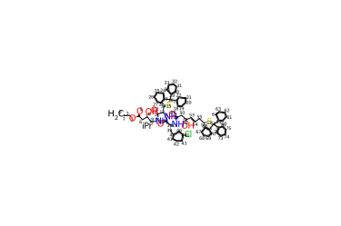 C=CCOC(=O)C[C@H](O)[C@H](NC(=O)[C@@H](CSC(c1ccccc1)(c1ccccc1)c1ccccc1)NC(=O)[C@@H](Cc1cccc(Cl)c1)NC(=O)C[C@H](O)/C=C/CCSC(c1ccccc1)(c1ccccc1)c1ccccc1)C(C)C